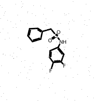 O=S(=O)(Cc1ccccc1)Nc1ccc(F)c(F)c1